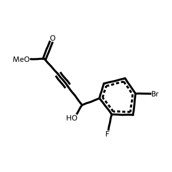 COC(=O)C#CC(O)c1ccc(Br)cc1F